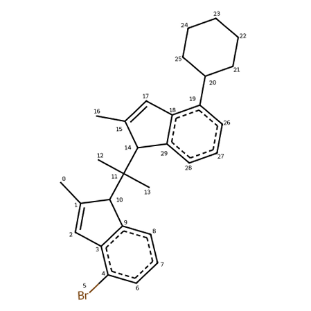 CC1=Cc2c(Br)cccc2C1C(C)(C)C1C(C)=Cc2c(C3CCCCC3)cccc21